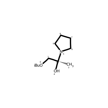 CC(C)COC[C@](C)(O)N1CCCC1